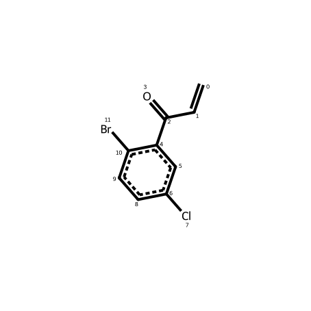 C=CC(=O)c1cc(Cl)ccc1Br